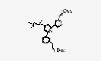 CCCCCCCCCCCCc1cccc(-c2cc(N(C)CCN(C)C)cc(-c3cccc(CCCCCCCCCCCC)c3)n2)c1